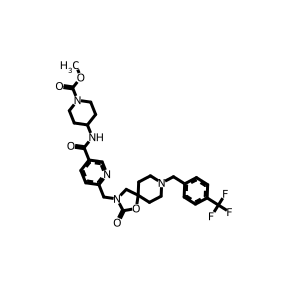 COC(=O)N1CCC(NC(=O)c2ccc(CN3CC4(CCN(Cc5ccc(C(F)(F)F)cc5)CC4)OC3=O)nc2)CC1